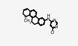 C[C@@H]1CC=Cc2ccc3c(c21)CCc1ccc(Nc2cc(Cl)ncn2)cc1-3